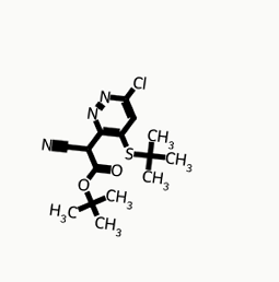 CC(C)(C)OC(=O)C(C#N)c1nnc(Cl)cc1SC(C)(C)C